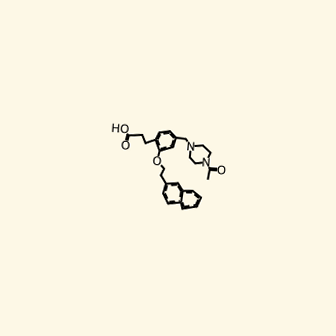 CC(=O)N1CCN(Cc2ccc(CCC(=O)O)c(OCCc3ccc4ccccc4c3)c2)CC1